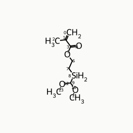 C=C(C)C(=O)OCC[SiH2]C(OC)OC